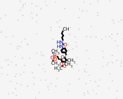 C#CCCCCNC(=O)Nc1ccc(C[C@H]2O[C@H](CCP(=O)(OCC)OCC)[C@@H](OC(C)=O)[C@H](C)[C@@H]2C)cc1